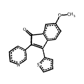 COc1ccc2c(c1)C(=O)C(c1cccnc1)=C2c1cccs1